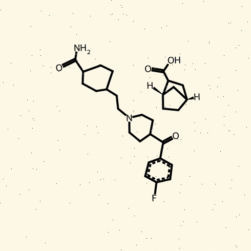 NC(=O)C1CCC(CCN2CCC(C(=O)c3ccc(F)cc3)CC2)CC1.O=C(O)C1C[C@@H]2CC[C@H]1C2